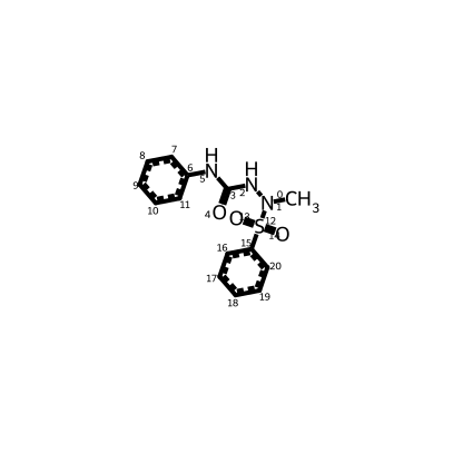 CN(NC(=O)Nc1ccccc1)S(=O)(=O)c1ccccc1